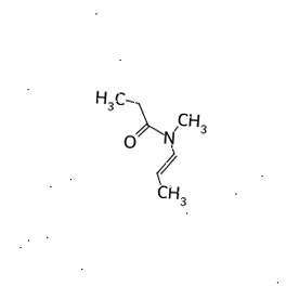 CC=CN(C)C(=O)CC